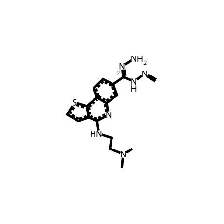 C=NN/C(=N\N)c1ccc2c(c1)nc(NCCN(C)C)c1ccsc12